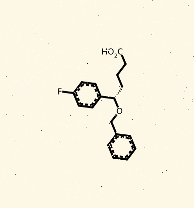 O=C(O)CCC[C@H](OCc1ccccc1)c1ccc(F)cc1